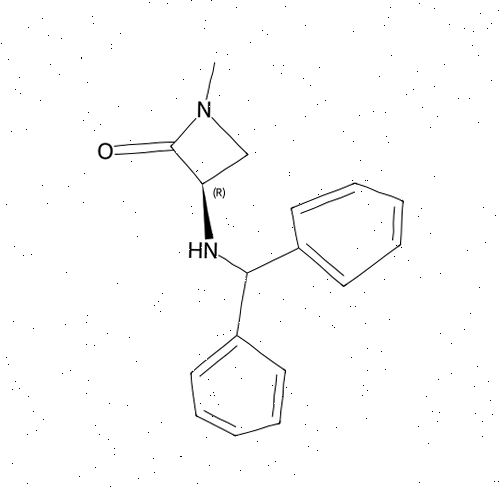 CN1C[C@@H](NC(c2ccccc2)c2ccccc2)C1=O